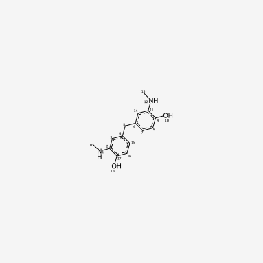 CNc1cc(Cc2ccc(O)c(NC)c2)ccc1O